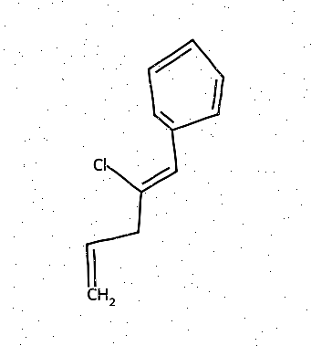 C=CCC(Cl)=Cc1ccccc1